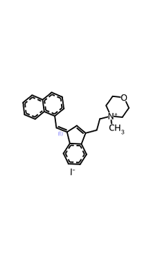 C[N+]1(CCC2=C/C(=C\c3cccc4ccccc34)c3ccccc32)CCOCC1.[I-]